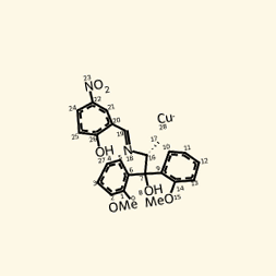 COc1ccccc1C(O)(c1ccccc1OC)[C@@H](C)N=Cc1cc([N+](=O)[O-])ccc1O.[Cu]